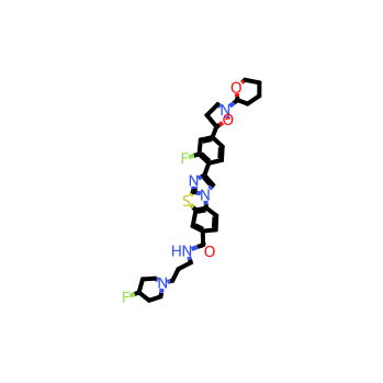 O=C(NCCCN1CCC(F)CC1)c1ccc2c(c1)sc1nc(-c3ccc(C4CCN(C5CCCCO5)O4)cc3F)cn12